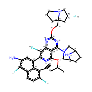 C#Cc1c(F)ccc2c(F)c(N)cc(-c3nc(OC(C)C)c4c(N5CC6CCC(C5)N6)nc(OC[C@@]56CCCN5C[C@H](F)C6)nc4c3F)c12